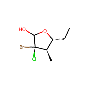 CC[C@H]1OC(O)[C@@](Cl)(Br)[C@@H]1C